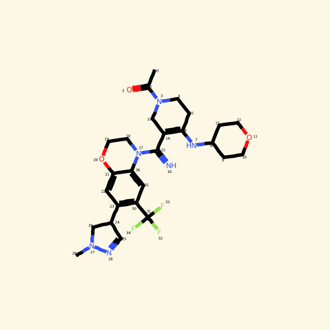 CC(=O)N1CCC(NC2CCOCC2)=C(C(=N)N2CCOc3cc(C4C=NN(C)C4)c(C(F)(F)F)cc32)C1